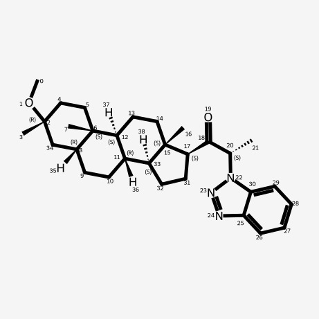 CO[C@]1(C)CC[C@@]2(C)[C@H](CC[C@@H]3[C@@H]2CC[C@]2(C)[C@@H](C(=O)[C@H](C)n4nnc5ccccc54)CC[C@@H]32)C1